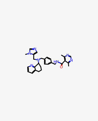 Cc1ncnc(C)c1C(=O)NCc1ccc(CN(Cc2cncn2C)C2CCCc3cccnc32)cc1